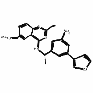 COc1[c]cc2nc(C)nc(N[C@H](C)c3cc(N)cc(-c4ccoc4)c3)c2c1